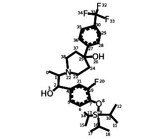 CC(C(O)c1ccc(O[Si](C(C)C)(C(C)C)C(C)C)c(F)c1)N1CCC(O)(c2ccc(C(F)(F)F)cc2)CC1